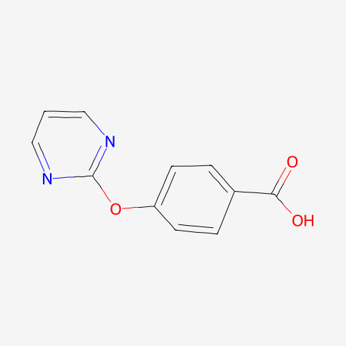 O=C(O)c1ccc(Oc2ncccn2)cc1